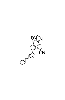 N#CC1CC=C(c2nccn3ncc(-c4ccc(-c5cnn(CCN6CCCC6)c5)cc4)c23)CC1